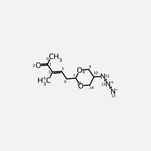 CC(=O)/C(C)=C/CC1OCC(N=[N+]=[N-])CO1